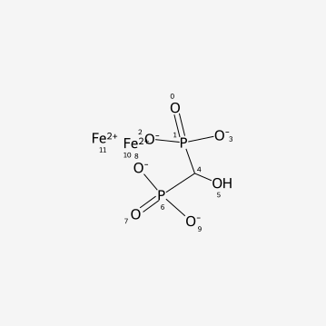 O=P([O-])([O-])C(O)P(=O)([O-])[O-].[Fe+2].[Fe+2]